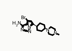 CN1CCN([C@H]2CC[C@H](c3cc(Br)c4c(N)ncnn43)CC2)CC1